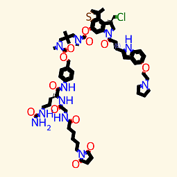 Cc1csc2c(OC(=O)N(C)CC(C)(C)CN(C)C(=O)OCc3ccc(NC(=O)[C@H](CCCNC(N)=O)NC(=O)CNC(=O)CCCCCN4C(=O)C=CC4=O)cc3)cc3c(c12)[C@@H](CCl)CN3C(=O)/C=C/c1cc2cc(OCCN3CCCC3)ccc2[nH]1